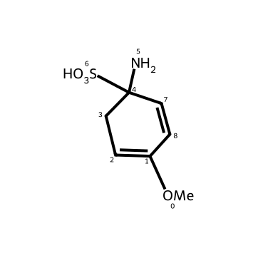 COC1=CCC(N)(S(=O)(=O)O)C=C1